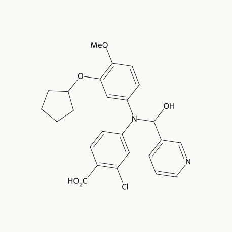 COc1ccc(N(c2ccc(C(=O)O)c(Cl)c2)C(O)c2cccnc2)cc1OC1CCCC1